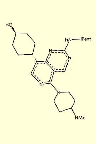 CCCC(C)Nc1ncc2c(N3CCC(NC)CC3)ncc([C@H]3CC[C@H](O)CC3)c2n1